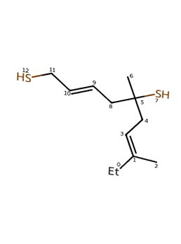 CCC(C)=CCC(C)(S)CC=CCS